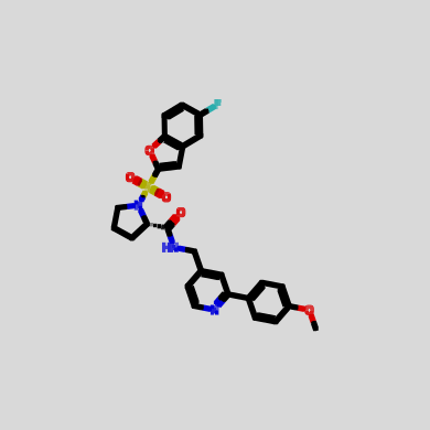 COc1ccc(-c2cc(CNC(=O)[C@@H]3CCCN3S(=O)(=O)c3cc4cc(F)ccc4o3)ccn2)cc1